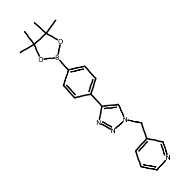 CC1(C)OB(c2ccc(-c3cn(Cc4cccnc4)nn3)cc2)OC1(C)C